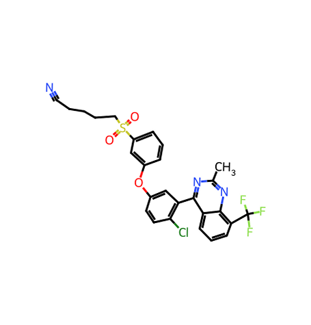 Cc1nc(-c2cc(Oc3cccc(S(=O)(=O)CCCCC#N)c3)ccc2Cl)c2cccc(C(F)(F)F)c2n1